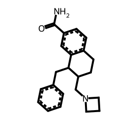 NC(=O)c1ccc2c(c1)C(Cc1ccccc1)C(CN1CCC1)CC2